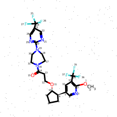 COc1ncc([C@H]2CCC[C@@H]2OCCC(=O)N2CCN(c3ncc(C(F)(F)F)cn3)CC2)cc1C(F)(F)F